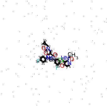 CC(=O)Nc1nccc(Oc2ccc(NC(=O)/C(=C/N(C=O)CC3CC3)C(=O)N(C)c3ccc(F)cc3)cc2F)c1Cl